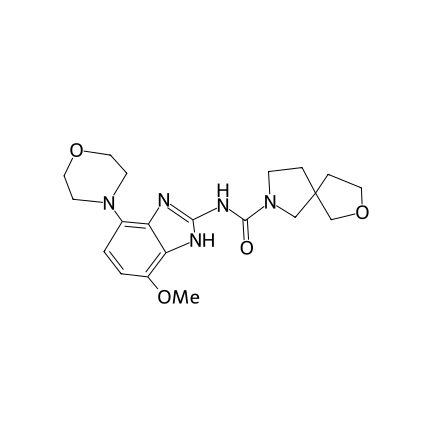 COc1ccc(N2CCOCC2)c2nc(NC(=O)N3CCC4(CCOC4)C3)[nH]c12